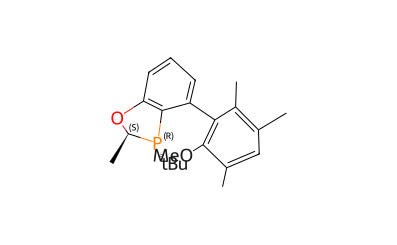 COc1c(C)cc(C)c(C)c1-c1cccc2c1[P@](C(C)(C)C)[C@@H](C)O2